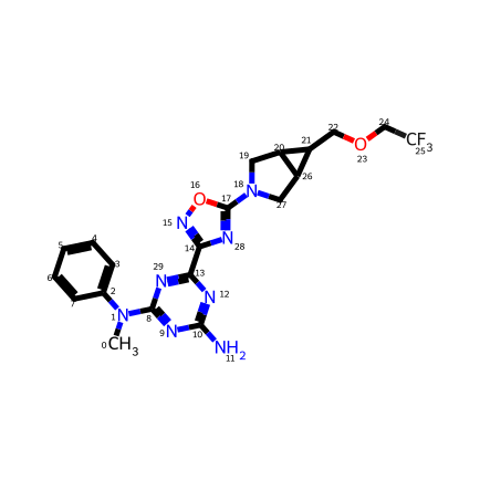 CN(c1ccccc1)c1nc(N)nc(-c2noc(N3CC4C(COCC(F)(F)F)C4C3)n2)n1